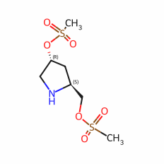 CS(=O)(=O)OC[C@@H]1C[C@@H](OS(C)(=O)=O)CN1